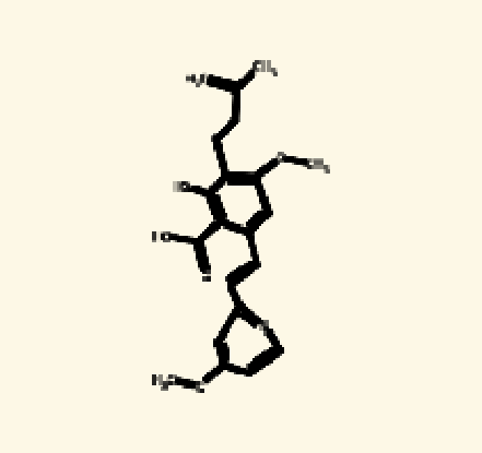 C=C(C)CCc1c(OC)cc(C=Cc2cc(OC)ccn2)c(C(=O)O)c1O